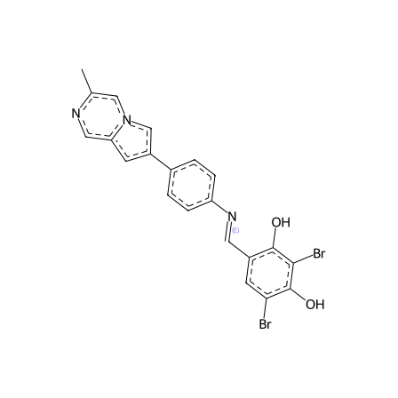 Cc1cn2cc(-c3ccc(/N=C/c4cc(Br)c(O)c(Br)c4O)cc3)cc2cn1